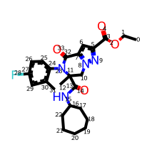 CCOC(=O)c1cc2n(n1)CC(C)(C(=O)NC1CCCCCC1)N(c1ccc(F)cc1C)C2=O